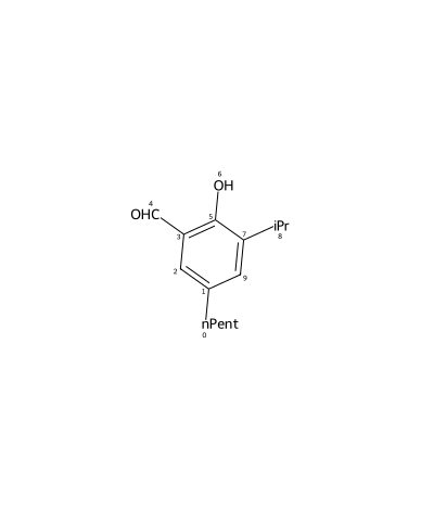 CCCCCc1cc(C=O)c(O)c(C(C)C)c1